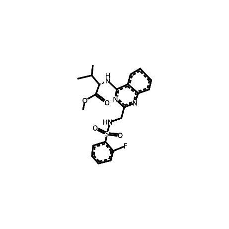 COC(=O)[C@@H](Nc1nc(CNS(=O)(=O)c2ccccc2F)nc2ccccc12)C(C)C